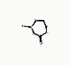 O=C1CCCCN(Cl)C1